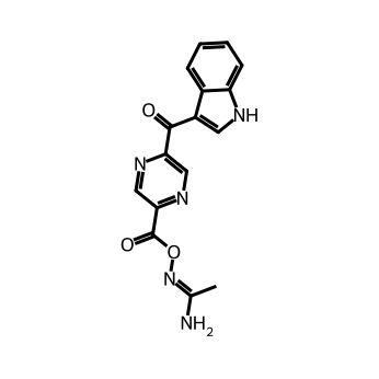 C/C(N)=N\OC(=O)c1cnc(C(=O)c2c[nH]c3ccccc23)cn1